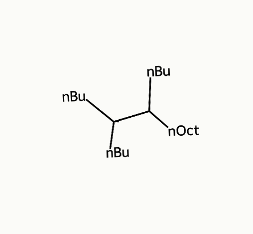 CCCCCCCCC(CCCC)[C](CCCC)CCCC